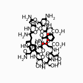 C[C@H](NC(=O)[C@H](CC(=O)O)NC(=O)[C@H](CC(N)=O)NC(=O)[C@H](CC(N)=O)NC(=O)[C@@H](N)Cc1c[nH]c2ccccc12)C(=O)N[C@@H](Cc1ccccc1)C(=O)N[C@@H](CCC(N)=O)C(=O)N[C@@H](CO)C(=O)N[C@@H](CO)C(=O)N[C@H](C(=O)N[C@@H](CC(N)=O)C(=O)O)[C@@H](C)O